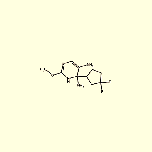 COC1=NC=C(N)C(N)(C2CCC(F)(F)C2)N1